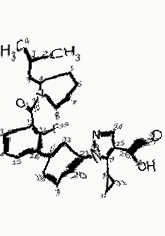 CC(C)CC1CCCCN1C(=O)c1cccc(-c2cccc(-n3ncc(C(=O)O)c3C3CC3)c2)c1F